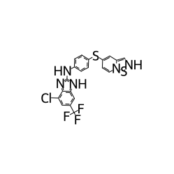 FC(F)(F)c1cc(Cl)c2nc(Nc3ccc(SC4=CC5=CNSN5C=C4)cc3)[nH]c2c1